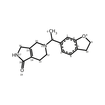 CC(c1ccc2c(c1)OCC2)N1CCC2=C(CNC2=O)C1